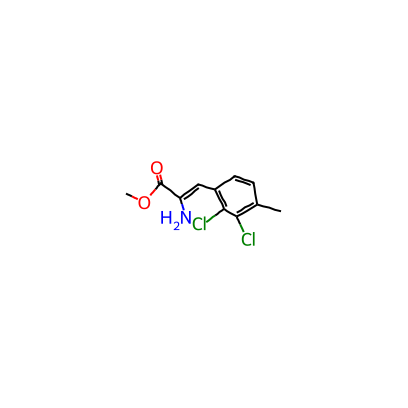 COC(=O)/C(N)=C/c1ccc(C)c(Cl)c1Cl